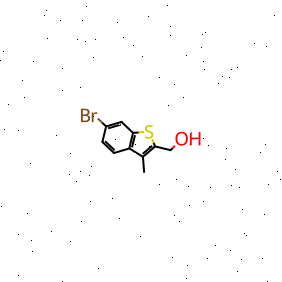 Cc1c(CO)sc2cc(Br)ccc12